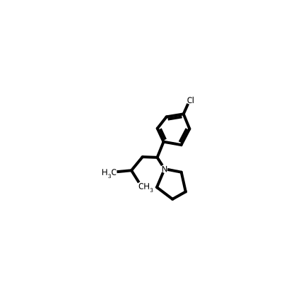 CC(C)CC(c1ccc(Cl)cc1)N1CCCC1